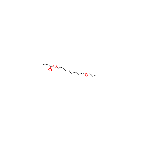 C=CC(=O)OCCCCCCCCOCCC